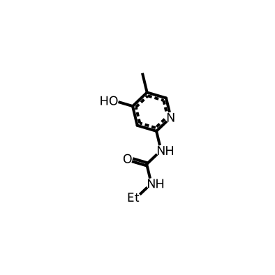 CCNC(=O)Nc1cc(O)c(C)cn1